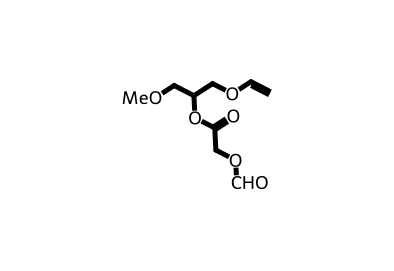 C=COCC(COC)OC(=O)COC=O